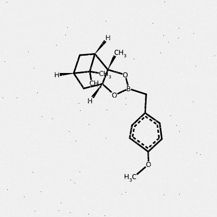 COc1ccc(CB2O[C@@H]3C[C@@H]4C[C@@H](C4(C)C)[C@]3(C)O2)cc1